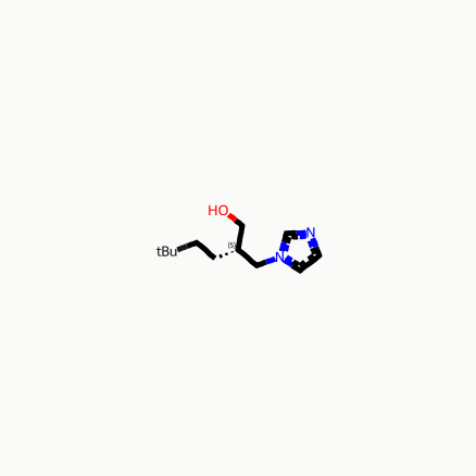 CC(C)(C)CC[C@H](CO)Cn1ccnc1